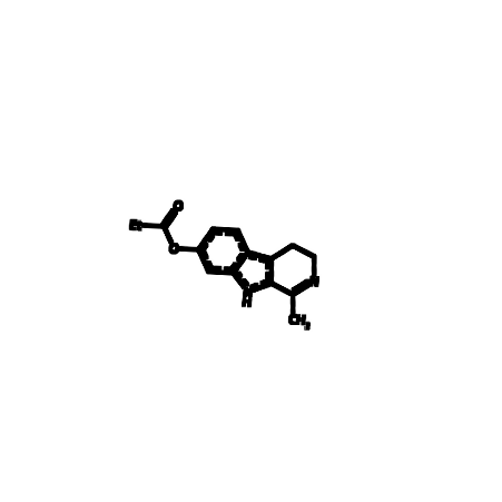 CCC(=O)Oc1ccc2c3c([nH]c2c1)C(C)=NCC3